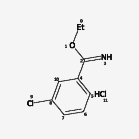 CCOC(=N)c1cccc(Cl)c1.Cl